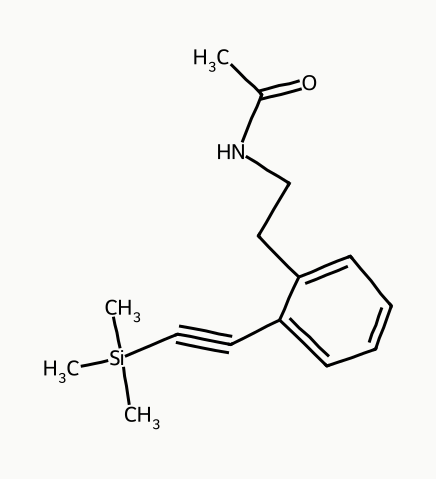 CC(=O)NCCc1ccccc1C#C[Si](C)(C)C